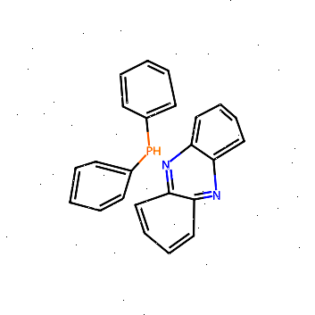 c1ccc(Pc2ccccc2)cc1.c1ccc2nc3ccccc3nc2c1